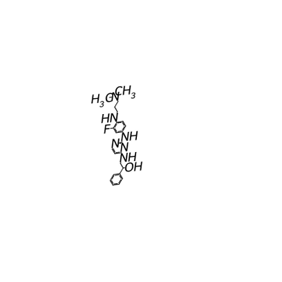 CN(C)CCCNc1ccc(Nc2nccc(NCC(O)c3ccccc3)n2)cc1F